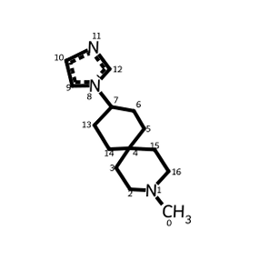 CN1CCC2(CCC(n3ccnc3)CC2)CC1